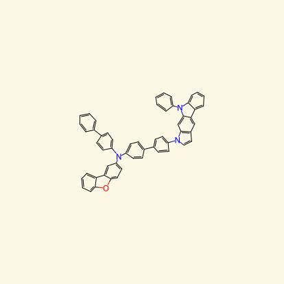 c1ccc(-c2ccc(N(c3ccc(-c4ccc(-n5ccc6cc7c8ccccc8n(-c8ccccc8)c7cc65)cc4)cc3)c3ccc4oc5ccccc5c4c3)cc2)cc1